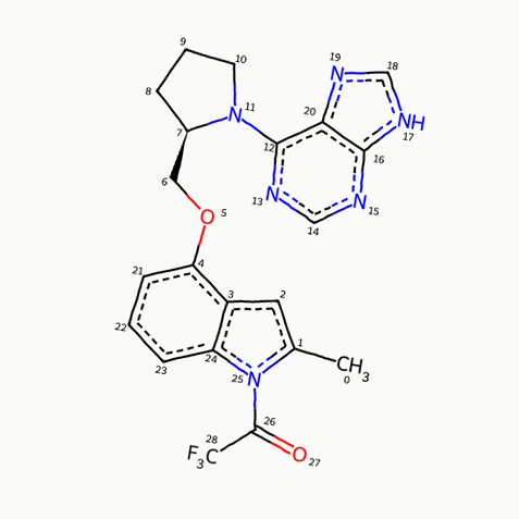 Cc1cc2c(OC[C@H]3CCCN3c3ncnc4[nH]cnc34)cccc2n1C(=O)C(F)(F)F